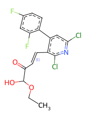 CCOC(O)C(=O)/C=C/c1c(-c2ccc(F)cc2F)cc(Cl)nc1Cl